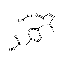 NN.O=C(O)Cc1ccc(N2C(=O)C=CC2=O)cc1